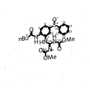 CCCCC(=O)Nc1ccc([S+]([O-])c2ccccc2)cc1NC(=NC(=O)OC)NC(=O)OC